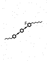 CCCCCCCc1ccc(C#Cc2ccc(C#Cc3ccc(CCCCC)cc3)cc2)c(F)c1